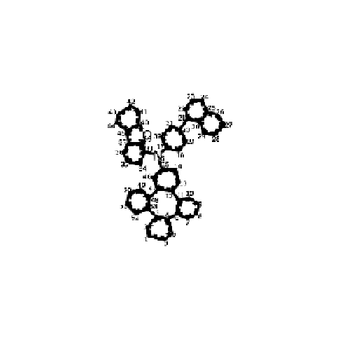 c1ccc2c(c1)-c1ccccc1-c1ccc(N(c3ccc(-c4cccc5ccccc45)cc3)c3cccc4c3oc3ccccc34)cc1-c1ccccc1-2